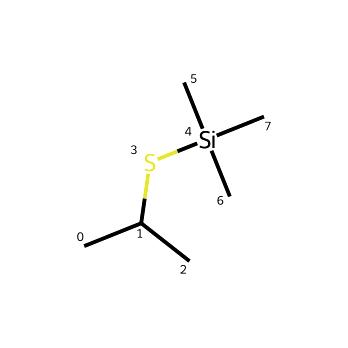 CC(C)S[Si](C)(C)C